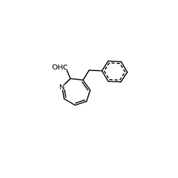 O=CC1N=CC=CC=C1Cc1ccccc1